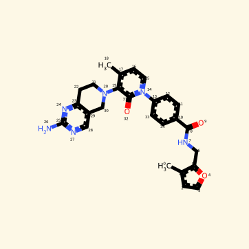 Cc1ccoc1CNC(=O)c1ccc(-n2ccc(C)c(N3CCc4nc(N)ncc4C3)c2=O)cc1